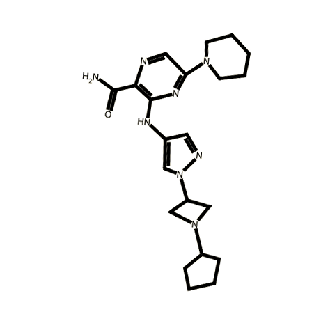 NC(=O)c1ncc(N2CCCCC2)nc1Nc1cnn(C2CN(C3CCCC3)C2)c1